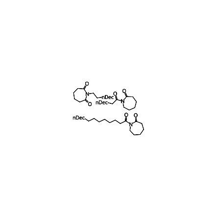 CCCCCCCCCCCC(=O)N1CCCCCC1=O.CCCCCCCCCCCCCCCCCC(=O)N1CCCCCC1=O.CCCCCCCCCCCCN1C(=O)CCCCC1=O